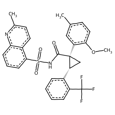 COc1ccc(C)cc1[C@]1(C(=O)NS(=O)(=O)c2cccc3nc(C)ccc23)C[C@@H]1c1ccccc1C(F)(F)F